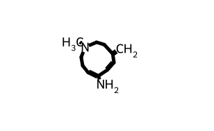 C=C1/C=C\C(N)=C/CCN(C)CC1